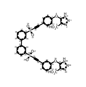 O=C(O)c1nn[nH]c1Oc1ccc(C#CS(=O)(=O)c2cccc(-c3cccc(S(=O)(=O)C#Cc4cccc(Oc5[nH]nnc5C(=O)O)c4)c3)c2)cc1